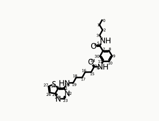 CCCCNC(=O)c1cccc(NC(=O)CCCCCNc2ncnc3ccsc23)c1